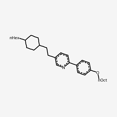 CCCCCCCCOc1ccc(-c2ccc(CCC3CCC(CCCCCC)CC3)cn2)cc1